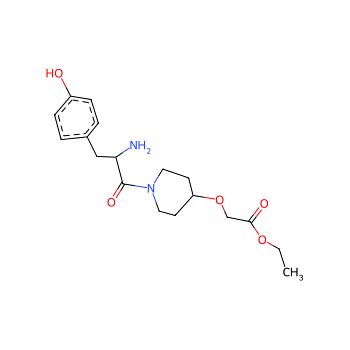 CCOC(=O)COC1CCN(C(=O)C(N)Cc2ccc(O)cc2)CC1